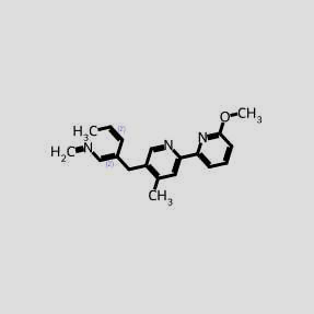 C=N/C=C(\C=C/C)Cc1cnc(-c2cccc(OC)n2)cc1C